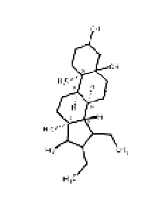 CCC1C(CC)[C@H]2[C@@H]3CCC4(O)CC(O)CC[C@]4(C)[C@@H]3CC[C@]2(C)C1O